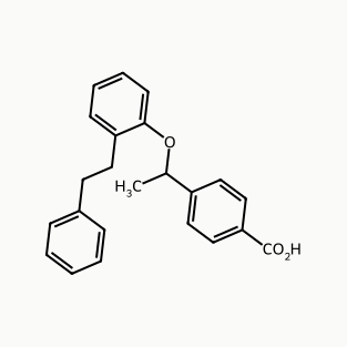 CC(Oc1ccccc1CCc1ccccc1)c1ccc(C(=O)O)cc1